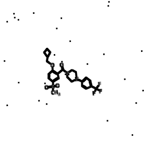 CS(=O)(=O)c1ccc(OCC2CCC2)c(C(=O)N2CCN(c3ccc(C(F)(F)F)cc3)CC2)c1